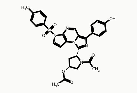 CC(=O)O[C@@H]1C[C@H](c2nc(-c3ccc(O)cc3)c3cnc4c(ccn4S(=O)(=O)c4ccc(C)cc4)n23)N(C(C)=O)C1